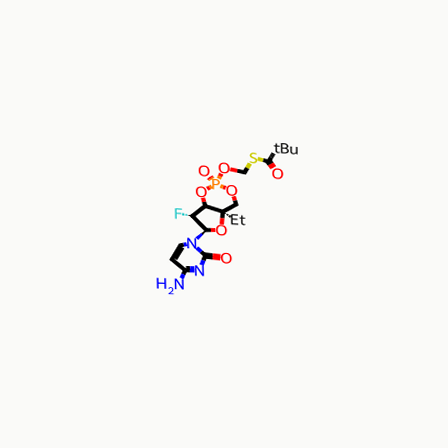 CC[C@@]12COP(=O)(OCSC(=O)C(C)(C)C)OC1[C@@H](F)[C@H](n1ccc(N)nc1=O)O2